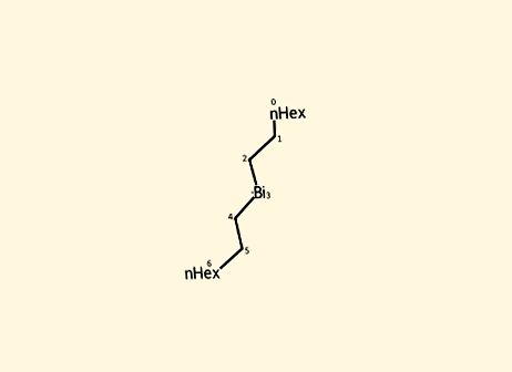 CCCCCCC[CH2][Bi][CH2]CCCCCCC